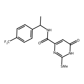 CSc1nc(C(=O)NC(C)c2ccc(C(F)(F)F)cc2)cc(=O)[nH]1